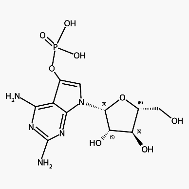 Nc1nc(N)c2c(OP(=O)(O)O)cn([C@@H]3O[C@H](CO)[C@@H](O)[C@@H]3O)c2n1